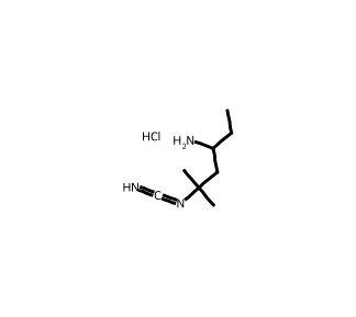 CCC(N)CC(C)(C)N=C=N.Cl